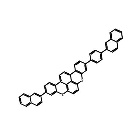 c1ccc2cc(-c3ccc(-c4ccc5c(c4)Sc4ccc6c7c(ccc-5c47)-c4ccc(-c5ccc7ccccc7c5)cc4S6)cc3)ccc2c1